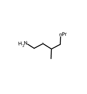 CCCCC(C)[CH]CN